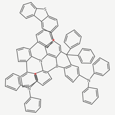 c1ccc(-c2cccc(-c3ccccc3)c2N2c3cc(N(c4ccccc4)c4ccccc4)ccc3B3c4ccc(N(c5ccccc5)c5ccccc5)cc4C(c4ccccc4)(c4ccccc4)c4cc(-c5ccc6sc7ccccc7c6c5)cc2c43)cc1